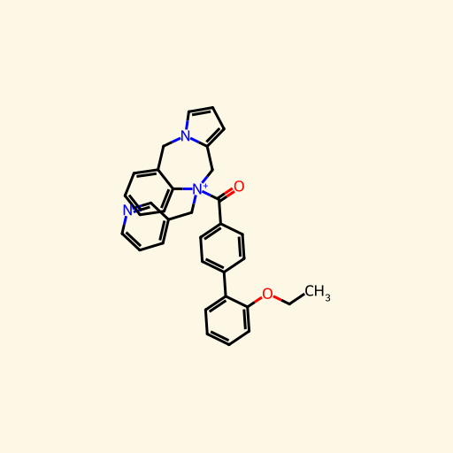 CCOc1ccccc1-c1ccc(C(=O)[N+]2(Cc3cccnc3)Cc3cccn3Cc3ccccc32)cc1